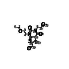 CCOCCn1c(=O)n(CCOC)c(=O)c2c(C)c(C=O)sc21